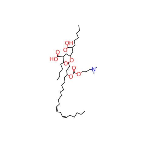 CCCCC/C=C\C/C=C\CCCCCCCCC(CCC(=O)OC(CC(CCCCCC)C(=O)O)CC(CCCCCC)C(=O)O)OC(=O)OCCCN(C)C